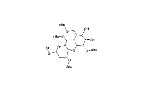 CCCCOCC1OC(O[C@@H]2C(COCCCC)OC(SCC)[C@@H](C)[C@H]2OCCCC)[C@@H](OCCCC)[C@H](O)C1O